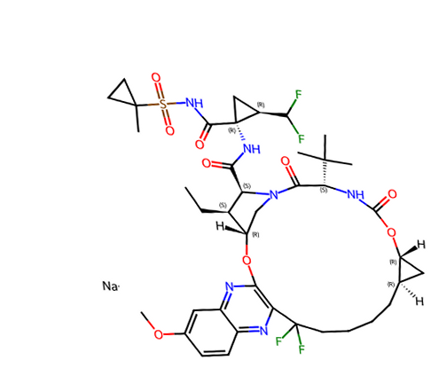 CC[C@@H]1[C@@H]2CN(C(=O)[C@H](C(C)(C)C)NC(=O)O[C@@H]3C[C@H]3CCCCC(F)(F)c3nc4ccc(OC)cc4nc3O2)[C@@H]1C(=O)N[C@]1(C(=O)NS(=O)(=O)C2(C)CC2)C[C@H]1C(F)F.[Na]